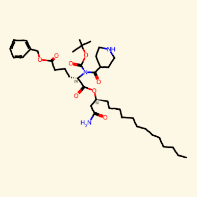 CCCCCCCCCCCCC[C@@H](CC(N)=O)OC(=O)[C@H](CCCC(=O)OCc1ccccc1)N(C(=O)OC(C)(C)C)C(=O)C1CCNCC1